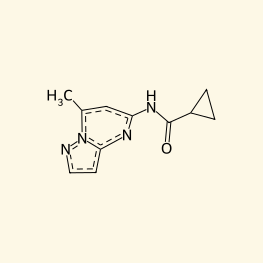 Cc1cc(NC(=O)C2CC2)nc2ccnn12